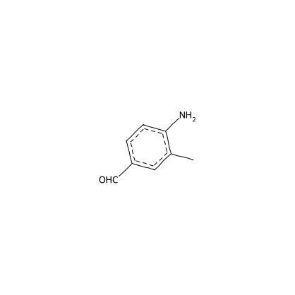 Cc1cc(C=O)ccc1N